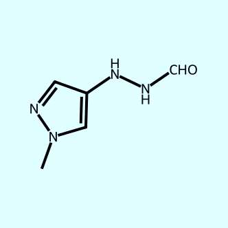 Cn1cc(NNC=O)cn1